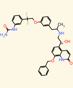 CC(Cc1cccc(OCC(F)(F)c2cccc(NC(N)=O)c2)c1)NC[C@H](O)c1ccc(OCc2ccccc2)c2[nH]c(=O)ccc12